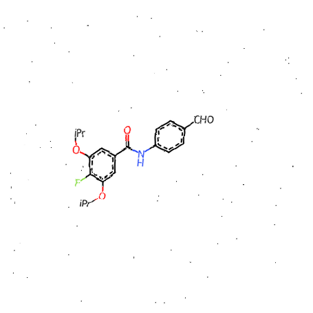 CC(C)Oc1cc(C(=O)Nc2ccc(C=O)cc2)cc(OC(C)C)c1F